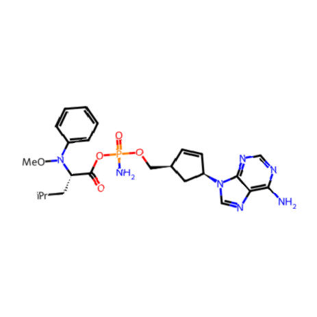 CON(c1ccccc1)[C@@H](CC(C)C)C(=O)OP(N)(=O)OC[C@H]1C=C[C@@H](n2cnc3c(N)ncnc32)C1